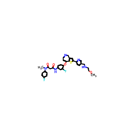 COCCNCc1ccc(-c2cc3c(s2)C(Oc2ccc(NC(=O)CC(=O)N(C)c4ccc(F)cc4)cc2F)=CC=NC3)nc1